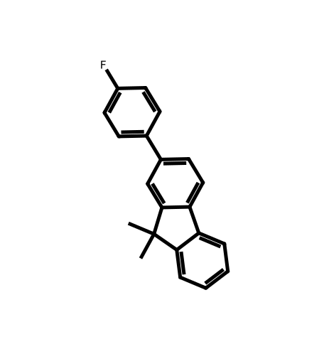 CC1(C)c2ccccc2-c2ccc(-c3ccc(F)cc3)cc21